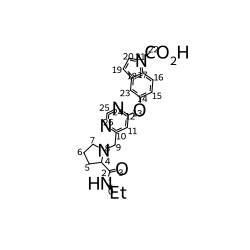 CCNC(=O)C1CCCN1Cc1cc(Oc2ccc3c(ccn3C(=O)O)c2)ncn1